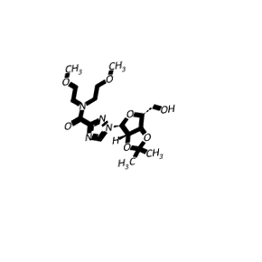 COCCN(CCOC)C(=O)c1ncn([C@@H]2O[C@H](CO)C3OC(C)(C)O[C@@H]32)n1